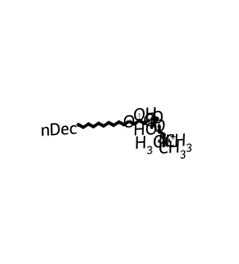 CCCCCCCCCCCCCCCCCCCCOC[C@H](O)COP(=O)(O)OCC[N+](C)(C)C